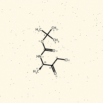 C[C@@H](NC(=O)OC(C)(C)C)C(=O)CCl